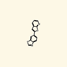 c1cnc2sc(-c3ccc4ncsc4c3)cc2c1